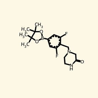 CC1(C)OB(c2cc(F)c(CN3CCNC(=O)C3)c(F)c2)OC1(C)C